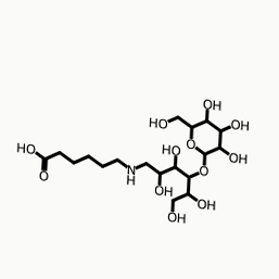 O=C(O)CCCCCNCC(O)C(O)C(OC1OC(CO)C(O)C(O)C1O)C(O)CO